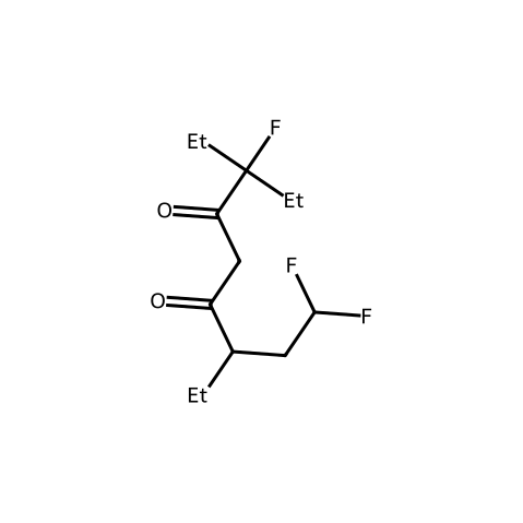 CCC(CC(F)F)C(=O)CC(=O)C(F)(CC)CC